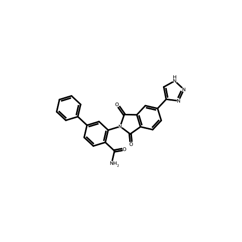 NC(=O)c1ccc(-c2ccccc2)cc1N1C(=O)c2ccc(-c3c[nH]nn3)cc2C1=O